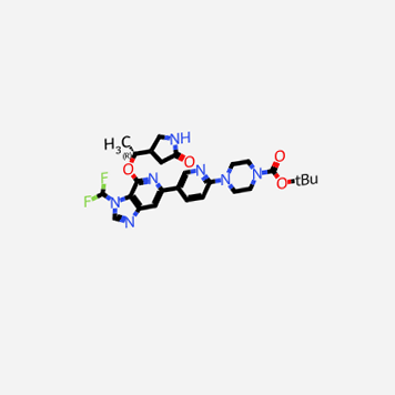 C[C@@H](Oc1nc(-c2ccc(N3CCN(C(=O)OC(C)(C)C)CC3)nc2)cc2ncn(C(F)F)c12)C1CNC(=O)C1